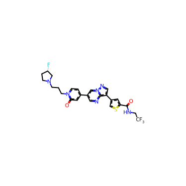 O=C(NCC(F)(F)F)c1cc(-c2cnn3cc(-c4ccn(CCCN5CC[C@H](F)C5)c(=O)c4)cnc23)cs1